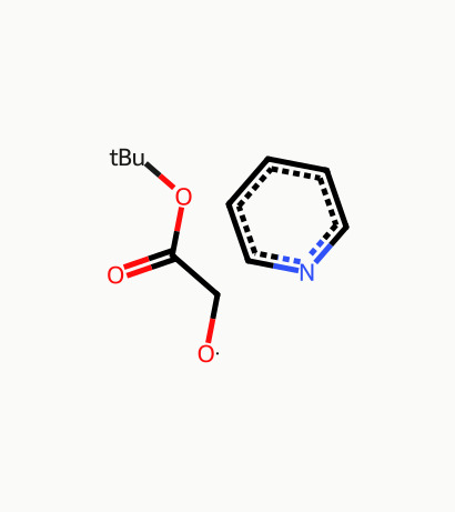 CC(C)(C)OC(=O)C[O].c1ccncc1